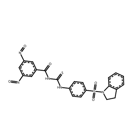 O=Nc1cc(N=O)cc(C(=O)NC(=S)Nc2ccc(S(=O)(=O)N3CCc4ccccc43)cc2)c1